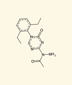 CCc1cccc(CC)c1-n1cnc(N(N)C(C)=O)nc1=O